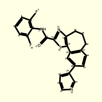 O=C(Nc1c(F)cccc1F)c1nc2c(s1)-c1cc(-c3cccnc3)ccc1CCC2